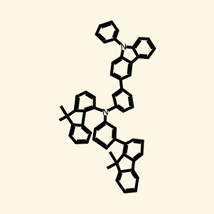 CC1(C)c2ccccc2-c2c(N(c3cccc(-c4ccc5c(c4)c4ccccc4n5-c4ccccc4)c3)c3cccc(-c4cccc5c4C(C)(C)c4ccccc4-5)c3)cccc21